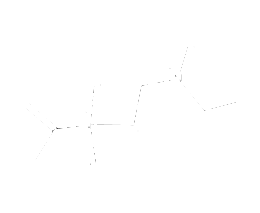 C=C(C)[Si](C)(C)CCN(C)CC